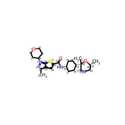 Cc1nn(C2CCOCC2)c2sc(C(=O)N[C@H]3CC[C@@H](C4(C)CNC[C@@H](C)O4)CC3)cc12